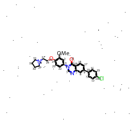 COc1cc(-n2cnc3cc(-c4ccc(Cl)cc4)ccc3c2=O)ccc1OCCN1CCCC1